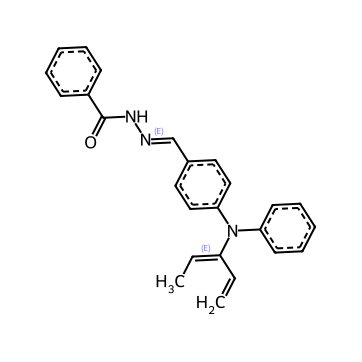 C=C/C(=C\C)N(c1ccccc1)c1ccc(/C=N/NC(=O)c2ccccc2)cc1